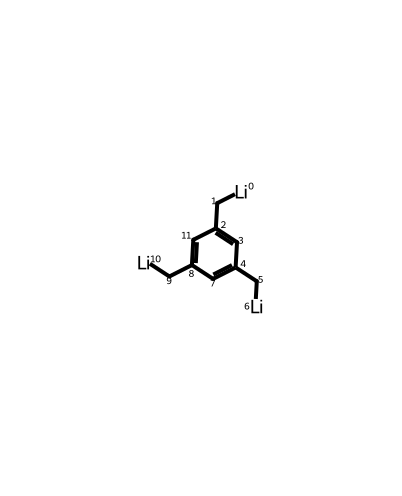 [Li][CH2]c1cc([CH2][Li])cc([CH2][Li])c1